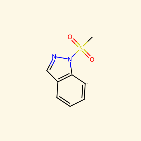 CS(=O)(=O)n1ncc2ccc[c]c21